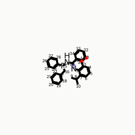 CC(C)c1cccc(C(C)C)c1/N=C(/NP(Cc1ccccc1)c1ccccc1)c1ccccc1